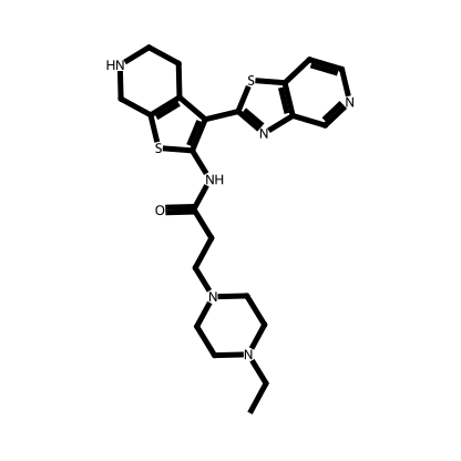 CCN1CCN(CCC(=O)Nc2sc3c(c2-c2nc4cnccc4s2)CCNC3)CC1